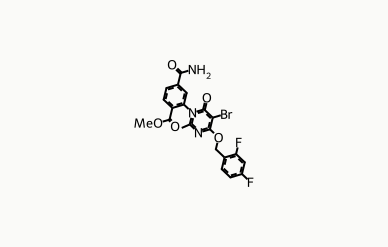 COC(=O)c1ccc(C(N)=O)cc1-n1c(C)nc(OCc2ccc(F)cc2F)c(Br)c1=O